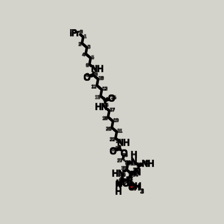 CC(C)CCCCCCNC(=O)CCCCC(=O)NCCCCCCNC(=O)OC[C@@H]1NC(=N)N2CC[C@](C)(O)C23C1NC(=N)N3O